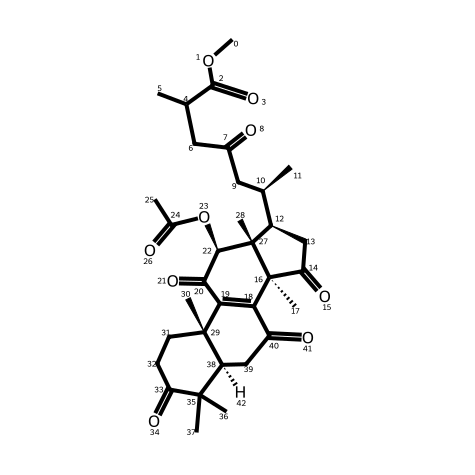 COC(=O)C(C)CC(=O)C[C@@H](C)[C@H]1CC(=O)[C@@]2(C)C3=C(C(=O)[C@@H](OC(C)=O)[C@]12C)[C@@]1(C)CCC(=O)C(C)(C)[C@@H]1CC3=O